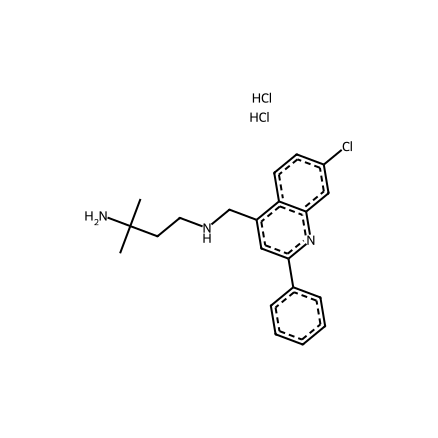 CC(C)(N)CCNCc1cc(-c2ccccc2)nc2cc(Cl)ccc12.Cl.Cl